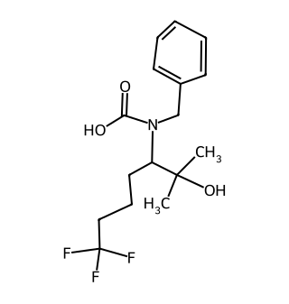 CC(C)(O)C(CCCC(F)(F)F)N(Cc1ccccc1)C(=O)O